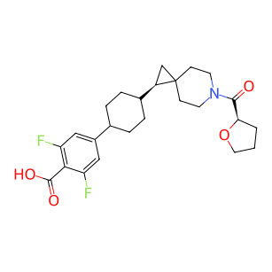 O=C(O)c1c(F)cc(C2CCC([C@H]3CC34CCN(C(=O)[C@H]3CCCO3)CC4)CC2)cc1F